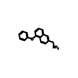 NCc1ccc2c(Oc3ccccc3)cccc2c1